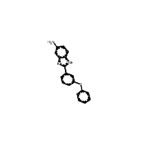 Nc1ccc2[nH]c(-c3cccc(Oc4ccccc4)c3)nc2c1